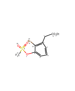 CCOC(=O)Cc1cccc(OS(=O)(=O)C(F)(F)F)c1Br